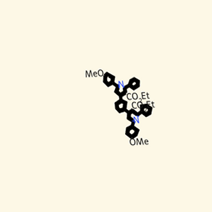 CCOC(=O)c1c(-c2cccc(-c3cc(-c4ccc(OC)cc4)nc(-c4ccccc4)c3C(=O)OCC)c2)cc(-c2ccc(OC)cc2)nc1-c1ccccc1